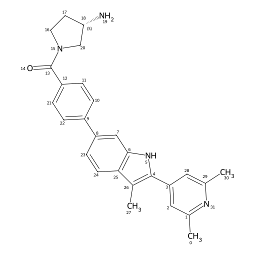 Cc1cc(-c2[nH]c3cc(-c4ccc(C(=O)N5CC[C@H](N)C5)cc4)ccc3c2C)cc(C)n1